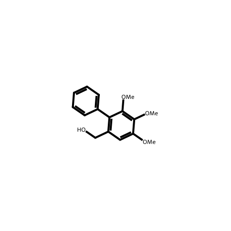 COc1cc(CO)c(-c2ccccc2)c(OC)c1OC